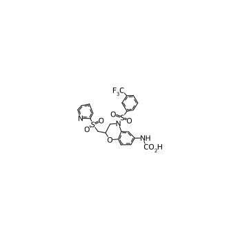 O=C(O)Nc1ccc2c(c1)N(S(=O)(=O)c1cccc(C(F)(F)F)c1)CC(CS(=O)(=O)c1ccccn1)O2